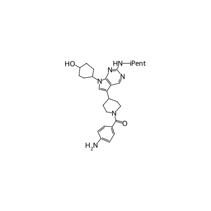 CCCC(C)Nc1ncc2c(C3CCN(C(=O)c4ccc(N)cc4)CC3)cn(C3CCC(O)CC3)c2n1